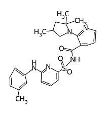 Cc1cccc(Nc2cccc(S(=O)(=O)NC(=O)c3cccnc3N3CC(C)CC3(C)C)n2)c1